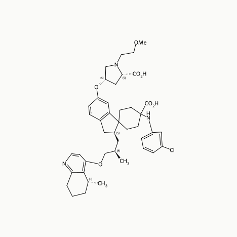 COCCN1C[C@@H](Oc2ccc3c(c2)C2(CCC(Nc4cccc(Cl)c4)(C(=O)O)CC2)[C@@H](C[C@@H](C)COc2ccnc4c2[C@H](C)CCC4)C3)C[C@H]1C(=O)O